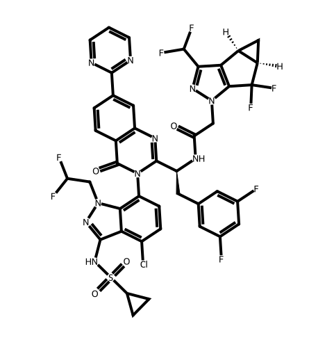 O=C(Cn1nc(C(F)F)c2c1C(F)(F)[C@@H]1C[C@H]21)N[C@@H](Cc1cc(F)cc(F)c1)c1nc2cc(-c3ncccn3)ccc2c(=O)n1-c1ccc(Cl)c2c(NS(=O)(=O)C3CC3)nn(CC(F)F)c12